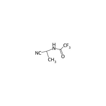 CC(C#N)NC(=O)C(F)(F)F